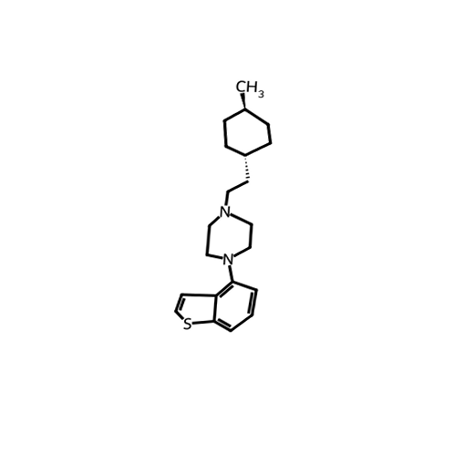 C[C@H]1CC[C@H](CCN2CCN(c3cccc4sccc34)CC2)CC1